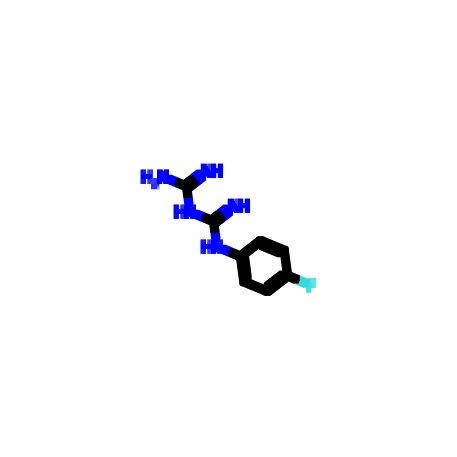 N=C(N)NC(=N)Nc1ccc(F)cc1